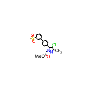 COC(=O)Cn1nc(C(F)(F)F)c(Cl)c1-c1ccc(-c2cccc(S(C)(=O)=O)c2)cc1